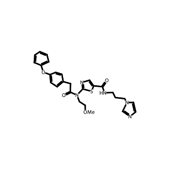 COCCN(C(=O)Cc1ccc(Oc2ccccc2)cc1)c1ncc(C(=O)NCCCn2ccnc2)s1